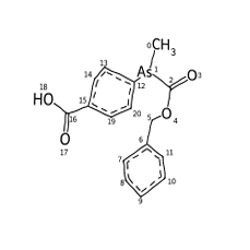 C[As](C(=O)OCc1ccccc1)c1ccc(C(=O)O)cc1